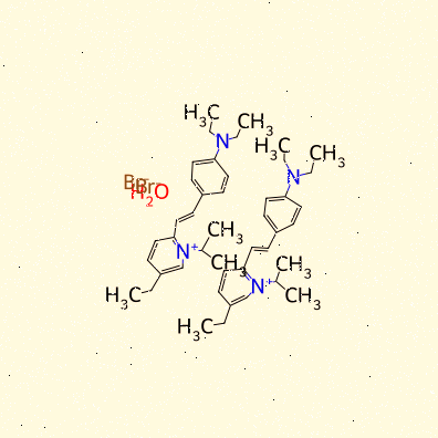 CCc1ccc(C=Cc2ccc(N(CC)CC)cc2)[n+](C(C)C)c1.CCc1ccc(C=Cc2ccc(N(CC)CC)cc2)[n+](C(C)C)c1.O.[Br-].[Br-]